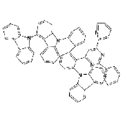 c1ccc(-c2nc(-c3ccccn3)cc(-c3c(-c4ccccc4-n4c5ccccc5c5c(-n6c7ccccc7c7ccccc76)cccc54)cccc3-n3c4ccccc4c4ccccc43)n2)cc1